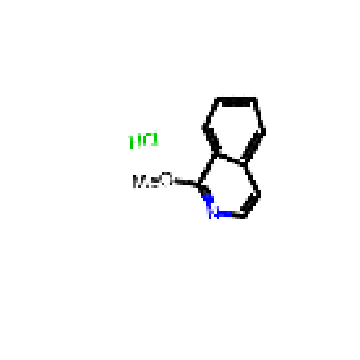 COc1nccc2ccccc12.Cl